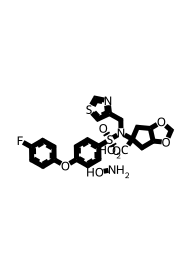 NO.O=C(O)C1(N(Cc2cscn2)S(=O)(=O)c2ccc(Oc3ccc(F)cc3)cc2)CC2OCOC2C1